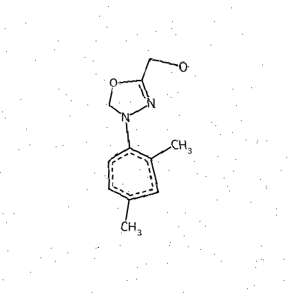 Cc1ccc(N2COC(C[O])=N2)c(C)c1